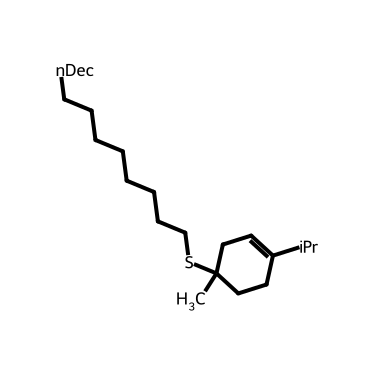 CCCCCCCCCCCCCCCCCCSC1(C)CC=C(C(C)C)CC1